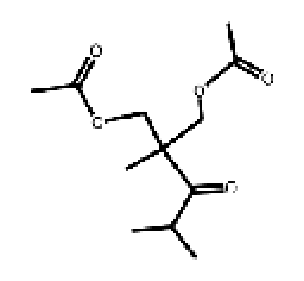 CC(=O)OCC(C)(COC(C)=O)C(=O)C(C)C